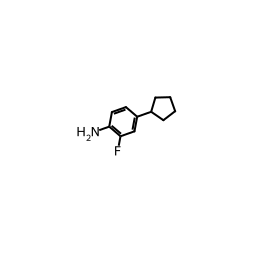 Nc1ccc(C2CCCC2)cc1F